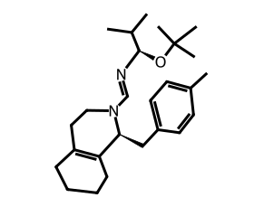 Cc1ccc(C[C@H]2C3=C(CCCC3)CCN2/C=N/[C@H](OC(C)(C)C)C(C)C)cc1